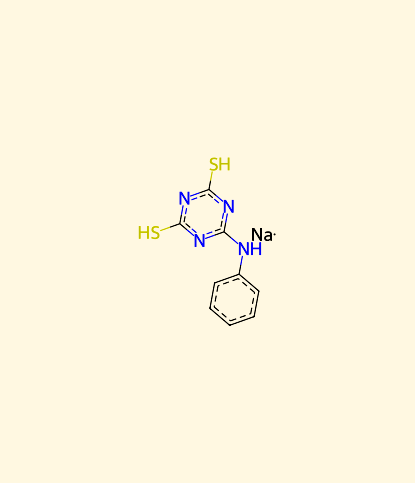 Sc1nc(S)nc(Nc2ccccc2)n1.[Na]